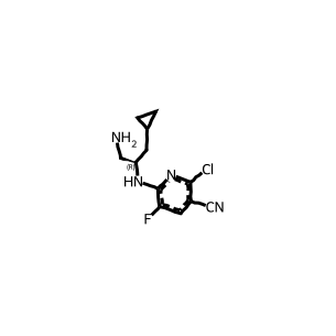 N#Cc1cc(F)c(N[C@@H](CN)CC2CC2)nc1Cl